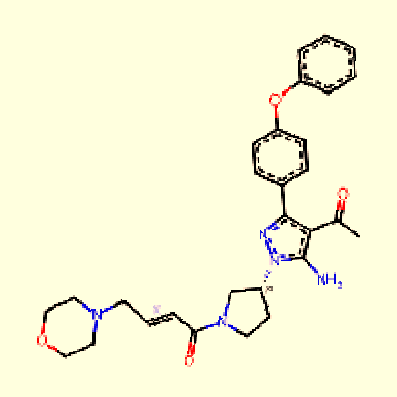 CC(=O)c1c(-c2ccc(Oc3ccccc3)cc2)nn([C@@H]2CCN(C(=O)/C=C/CN3CCOCC3)C2)c1N